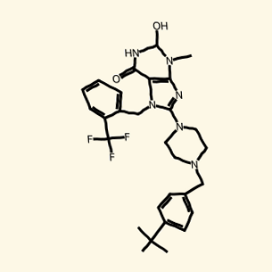 CN1c2nc(N3CCN(Cc4ccc(C(C)(C)C)cc4)CC3)n(Cc3ccccc3C(F)(F)F)c2C(=O)NC1O